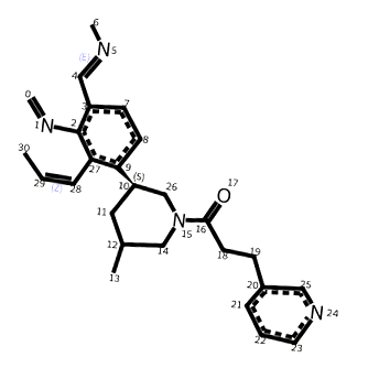 C=Nc1c(/C=N/C)ccc([C@@H]2CC(C)CN(C(=O)CCc3cccnc3)C2)c1/C=C\C